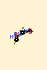 O=C1Nc2cc(F)ccc2C1=CNc1ccc(NCC2CCCO2)c(F)c1